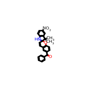 CC1(C)c2cc([N+](=O)[O-])ccc2NC12C=Cc1cc(C(=O)c3ccccc3)ccc1O2